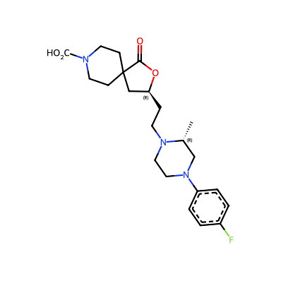 C[C@@H]1CN(c2ccc(F)cc2)CCN1CC[C@H]1CC2(CCN(C(=O)O)CC2)C(=O)O1